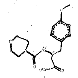 COc1ccc(C[C@H](NC(=O)N2CCOCC2)C(=O)O)cc1